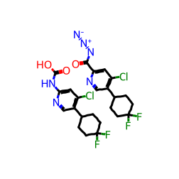 O=C(O)Nc1cc(Cl)c(C2CCC(F)(F)CC2)cn1.[N-]=[N+]=NC(=O)c1cc(Cl)c(C2CCC(F)(F)CC2)cn1